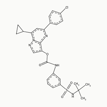 CC(C)(C)NS(=O)(=O)c1cccc(NC(=O)Oc2cnn3c(C4CC4)cc(-c4ccc(Cl)cc4)nc23)c1